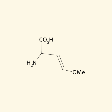 CO/C=C/C(N)C(=O)O